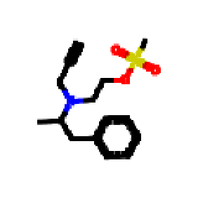 C#CCN(CCOS(C)(=O)=O)C(C)Cc1ccccc1